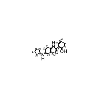 Cc1ccc(O)c(C(=O)Nc2ccc(NC3CCCC3)cc2Cl)c1